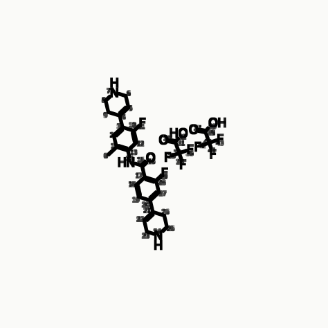 Cc1cc(C2=CCNCC2)c(F)cc1NC(=O)c1ccc(C2=CCNCC2)cc1F.O=C(O)C(F)(F)F.O=C(O)C(F)(F)F